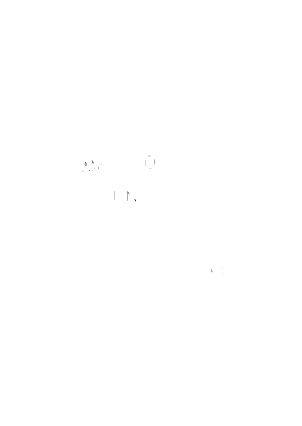 COC(=O)NCCCC[O]